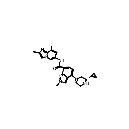 Cc1cn2cc(NC(=O)c3ccc(N4CCN[C@@H](C5CC5)C4)c4cn(C)nc34)cc(F)c2n1